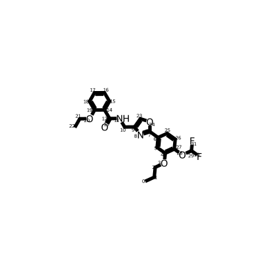 CCCOc1cc(-c2nc(CNC(=O)c3ccccc3OCC)co2)ccc1OC(F)F